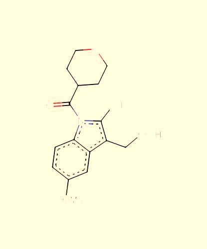 COc1ccc2c(c1)c(CC(=O)O)c(C)n2C(=O)C1CCOCC1